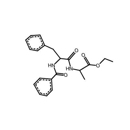 CCOC(=O)C(C)NC(=O)C(Cc1ccccc1)NC(=O)c1ccccc1